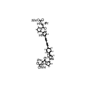 COC(=O)N[C@@H](C(=O)N1CCC[C@H]1c1ncc(C#CC#Cc2ccc(-c3cnc([C@@H]4CCCN4C(=O)[C@H](NC(=O)OC)C(C)C)[nH]3)cc2)[nH]1)C(C)C